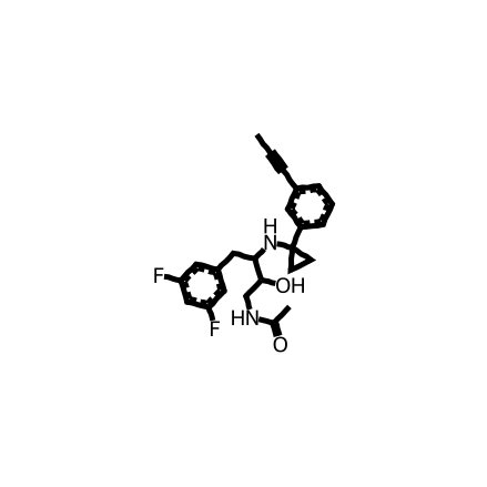 CC#Cc1cccc(C2(NC(Cc3cc(F)cc(F)c3)C(O)CNC(C)=O)CC2)c1